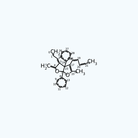 C=C/C=C1\C(=C)OC2(c3ccccc3)OC(C)=C(/C=C\C=C/C)C12c1ccccc1